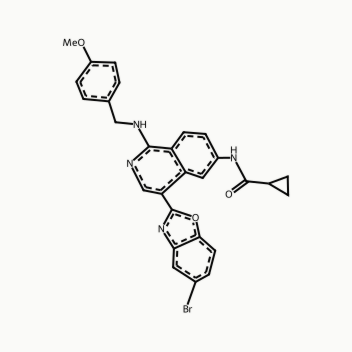 COc1ccc(CNc2ncc(-c3nc4cc(Br)ccc4o3)c3cc(NC(=O)C4CC4)ccc23)cc1